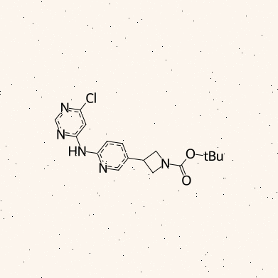 CC(C)(C)OC(=O)N1CC(c2ccc(Nc3cc(Cl)ncn3)nc2)C1